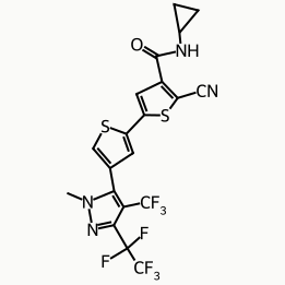 Cn1nc(C(F)(F)C(F)(F)F)c(C(F)(F)F)c1-c1csc(-c2cc(C(=O)NC3CC3)c(C#N)s2)c1